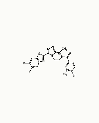 [2H]c1cc(C(=O)N2CCn3c(-c4nc5cc(F)c(F)cc5s4)nnc3[C@H]2C)ccc1Cl